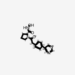 O=C(NO)[C@@H]1CCCN1C(=O)Cc1ccc(-c2cncnc2)cc1